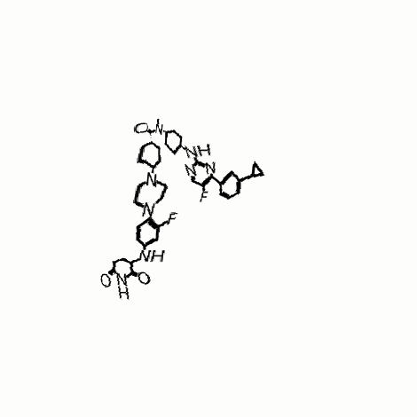 CN(C(=O)[C@H]1CC[C@H](N2CCN(c3ccc(NC4CCC(=O)NC4=O)cc3F)CC2)CC1)[C@H]1CC[C@H](Nc2ncc(F)c(-c3cccc(C4CC4)c3)n2)CC1